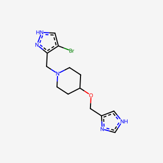 Brc1c[nH]nc1CN1CCC(OCc2c[nH]cn2)CC1